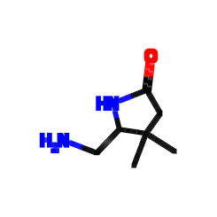 CC1(C)CC(=O)NC1CN